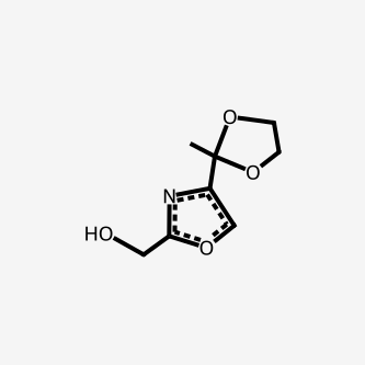 CC1(c2coc(CO)n2)OCCO1